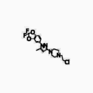 Cc1cc(N2CCN(CCCl)CC2)nn1-c1ccc2c(c1)OC(F)(F)O2